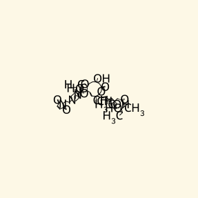 CC[C@H](O)[C@@H](C)[C@H]1O[C@@H]1CC(C)(O)/C=C/C=C(\C)[C@H]1OC(=O)C[C@H](O)CC[C@@](C)(OC)[C@@H](OC(=O)N2CCN(CCN3C(=O)C=CC3=O)CC2)/C=C/[C@@H]1C